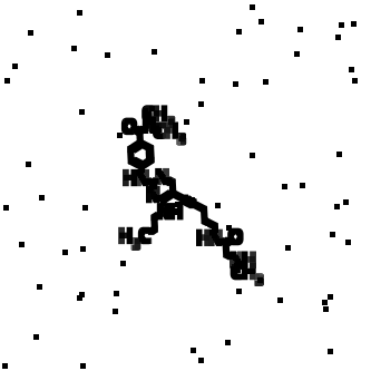 CCCNc1nc(Nc2ccc(C(=O)N(C)C)cc2)ncc1C#CCCCNC(=O)CNC